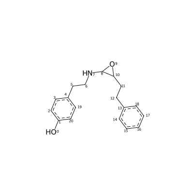 Oc1ccc(CCNC2OC2CCc2ccccc2)cc1